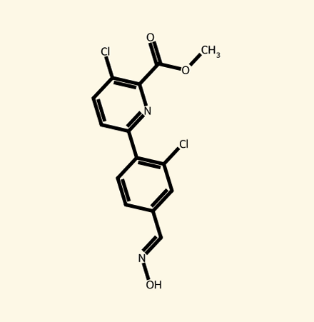 COC(=O)c1nc(-c2ccc(C=NO)cc2Cl)ccc1Cl